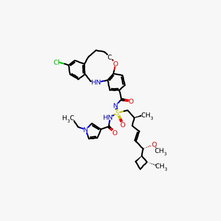 CCn1ccc(C(=O)NS(=O)(C[C@@H](C)C/C=C/[C@H](OC)[C@@H]2CC[C@H]2C)=NC(=O)c2ccc3c(c2)NCc2ccc(Cl)cc2CCCCO3)c1